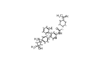 CC(=O)N(C)[C@H]1CC[C@H](CC(=O)Nc2cc(-c3ccccc3F)c(-c3ccc([C@]4(N)C[C@](C)(O)C4)cc3)cn2)CC1